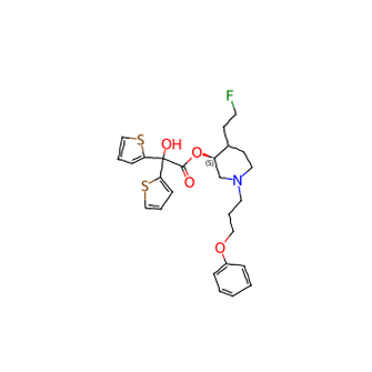 O=C(O[C@@H]1CN(CCCOc2ccccc2)CCC1CCF)C(O)(c1cccs1)c1cccs1